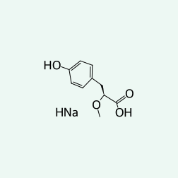 CO[C@@H](Cc1ccc(O)cc1)C(=O)O.[NaH]